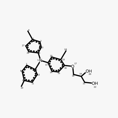 Cc1ccc(N(c2ccc(C)cc2)c2ccc(OCC(O)CO)c(C)c2)cc1